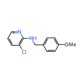 COc1ccc(CNc2ncc[c]c2Cl)cc1